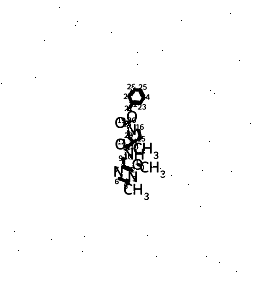 COc1nc(C)cnc1CNC(=O)C1(C)CCN(C(=O)OCc2ccccc2)C1